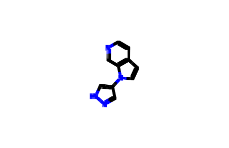 c1cc2ccn(-c3cn[nH]c3)c2cn1